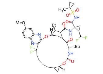 CC[C@@H]1[C@@H]2CC(C(=O)[C@H](C(C)(C)C)NC(=O)O[C@@H]3CC3CCCCC(F)(F)c3nc4ccc(OC)cc4nc3O2)[C@@H]1C(=O)N[C@]1(C(=O)NS(=O)(=O)C2(C)CC2)C[C@H]1C(F)F